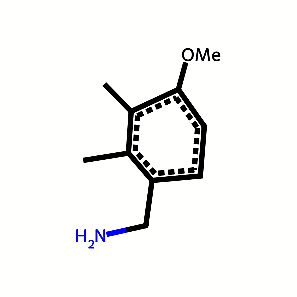 COc1ccc(CN)c(C)c1C